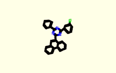 Clc1cccc(-c2nc(-c3ccccc3)nc(-c3cc4ccccc4c4ccccc34)n2)c1